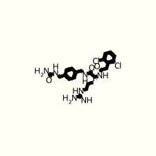 N=C(N)NCCC[C@@H](NC(=O)Cc1c(Cl)cccc1Cl)C(=O)NCc1ccc(CNC(N)=O)cc1